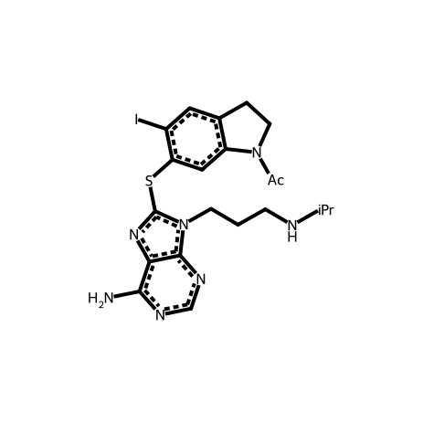 CC(=O)N1CCc2cc(I)c(Sc3nc4c(N)ncnc4n3CCCNC(C)C)cc21